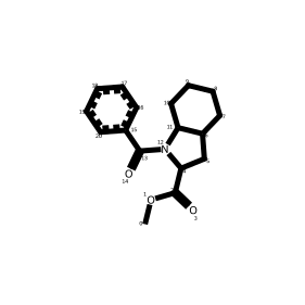 COC(=O)C1CC2CCCCC2N1C(=O)c1ccccc1